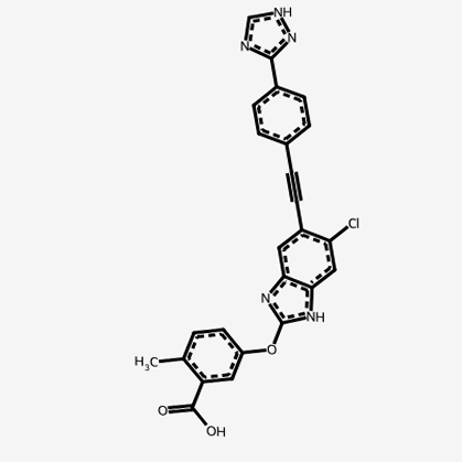 Cc1ccc(Oc2nc3cc(C#Cc4ccc(-c5nc[nH]n5)cc4)c(Cl)cc3[nH]2)cc1C(=O)O